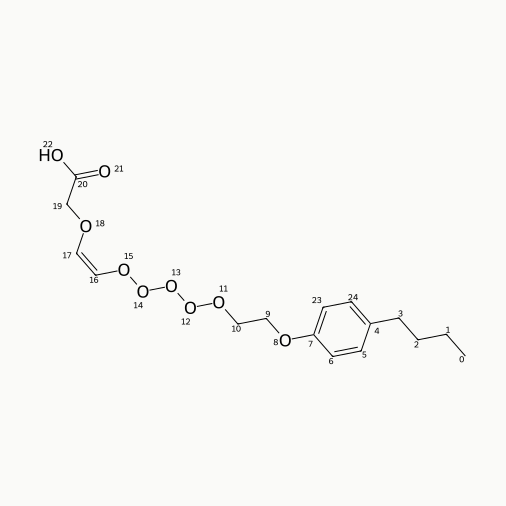 CCCCc1ccc(OCCOOOOO/C=C\OCC(=O)O)cc1